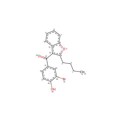 CCCCc1oc2ccccc2c1C(=O)c1ccc(O)c(Br)c1